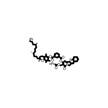 CCCC(=O)OCc1c(OC(=O)c2cccc(C(=O)Oc3c(C)c(C)c4c(c3C)CC[C@@](C)(CCC[C@H](C)CCC[C@H](C)CCCC(C)C)O4)c2)cc2n(c1=O)Cc1cc3ccccc3nc1-2